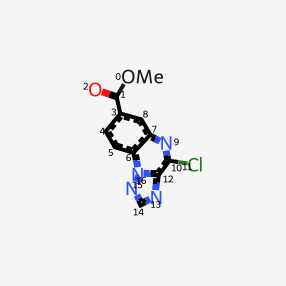 COC(=O)c1ccc2c(c1)nc(Cl)c1ncnn12